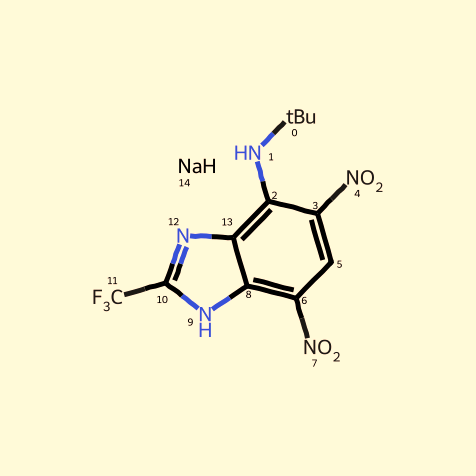 CC(C)(C)Nc1c([N+](=O)[O-])cc([N+](=O)[O-])c2[nH]c(C(F)(F)F)nc12.[NaH]